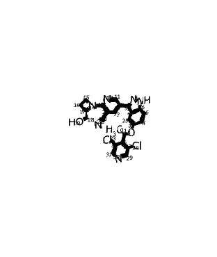 C[C@@H](Oc1ccc2[nH]nc(-c3cnc(N4CC[C@@H]4CO)c(C#N)c3)c2c1)c1c(Cl)cncc1Cl